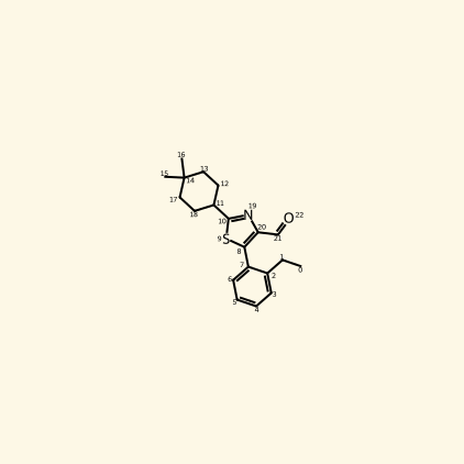 CCc1ccccc1-c1sc(C2CCC(C)(C)CC2)nc1C=O